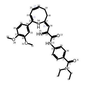 CCN(CC)C(=O)c1ccc(NC(=O)C(=N)/C=C2/CC/C=C\C=C(\c3ccc(OC)c(OC)c3)N2)cc1